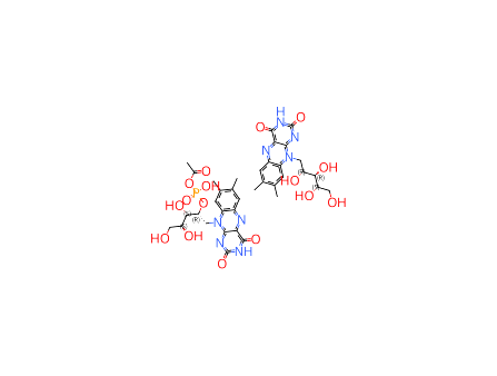 CC(=O)OP(=O)(O)O[C@H](Cn1c2nc(=O)[nH]c(=O)c-2nc2cc(C)c(C)cc21)[C@@H](O)[C@@H](O)CO.Cc1cc2nc3c(=O)[nH]c(=O)nc-3n(C[C@@H](O)[C@@H](O)[C@@H](O)CO)c2cc1C